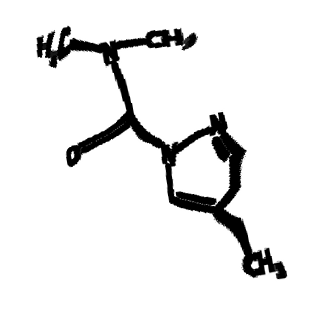 Cc1cnn(C(=O)N(C)C)c1